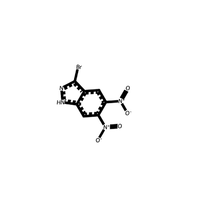 O=[N+]([O-])c1cc2[nH]nc(Br)c2cc1[N+](=O)[O-]